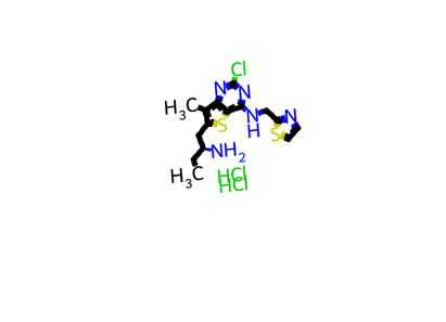 CC[C@H](N)Cc1sc2c(NCc3nccs3)nc(Cl)nc2c1C.Cl.Cl